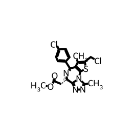 COC(=O)C[C@@H]1N=C(c2ccc(Cl)cc2)c2c(sc(CCl)c2C)-n2c(C)nnc21